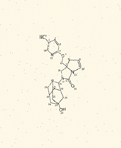 N#Cc1ccc(OCC23CC=CN2C(=O)N(C2C4CC5CC2CC(O)(C5)C4)C3)nc1